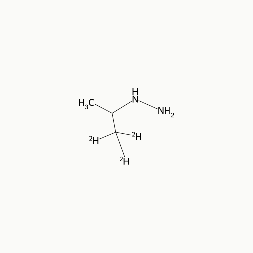 [2H]C([2H])([2H])C(C)NN